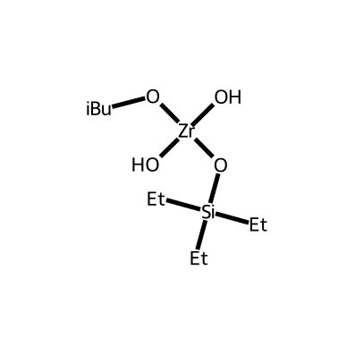 CCC(C)[O][Zr]([OH])([OH])[O][Si](CC)(CC)CC